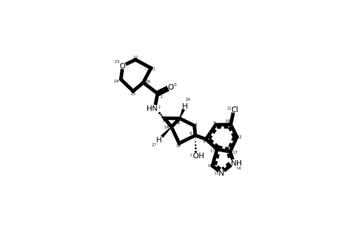 O=C(N[C@@H]1[C@@H]2C[C@@](O)(c3cc(Cl)cc4[nH]ncc34)C[C@@H]21)C1CCOCC1